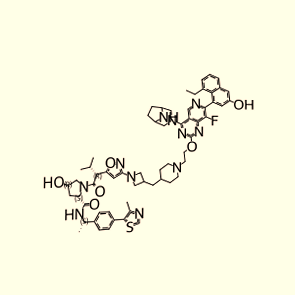 CCc1cccc2cc(O)cc(-c3ncc4c(N5CC6CCC(C5)N6)nc(OCCN5CCC(CC6CN(c7cc([C@H](C(=O)N8C[C@H](O)C[C@H]8C(=O)N[C@@H](C)c8ccc(-c9scnc9C)cc8)C(C)C)on7)C6)CC5)nc4c3F)c12